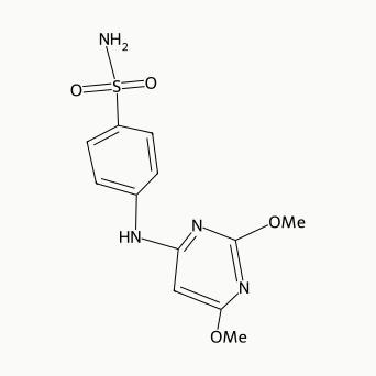 COc1cc(Nc2ccc(S(N)(=O)=O)cc2)nc(OC)n1